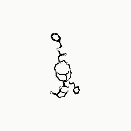 O=C(CN1CCCN2CCN(CCc3ccccc3)CCCN(CC1)CC(CCC(=O)OC1C(=O)CCC1=O)C2)OCc1ccccc1